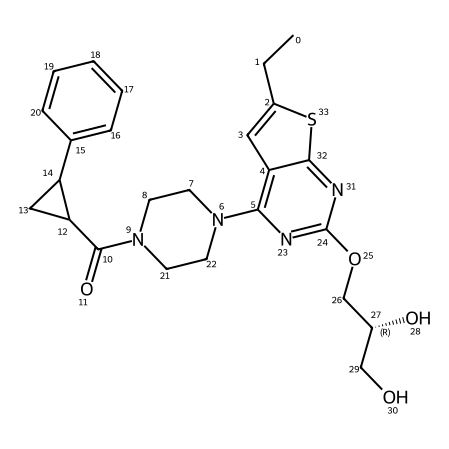 CCc1cc2c(N3CCN(C(=O)C4CC4c4ccccc4)CC3)nc(OC[C@H](O)CO)nc2s1